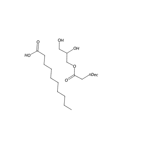 CCCCCCCCCC(=O)O.CCCCCCCCCCCC(=O)OCC(O)CO